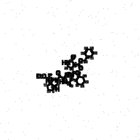 C=C(N[C@H](C(=O)N1C[C@@H]2CCC[C@@H]2[C@H]1C(=O)OCC)C(C)(C)C)[C@@H](NC(=O)[C@@H]1CNC(=O)N1C(=O)OCc1ccccc1)C1CCCCC1